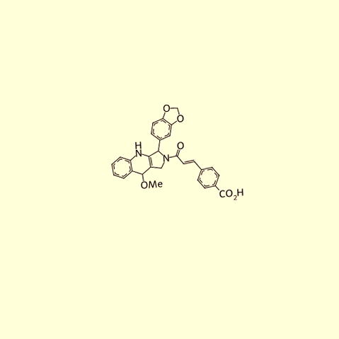 COC1C2=C(Nc3ccccc31)C(c1ccc3c(c1)OCO3)N(C(=O)C=Cc1ccc(C(=O)O)cc1)C2